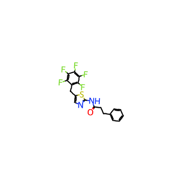 O=C(CCc1ccccc1)Nc1ncc(Cc2c(F)c(F)c(F)c(F)c2F)s1